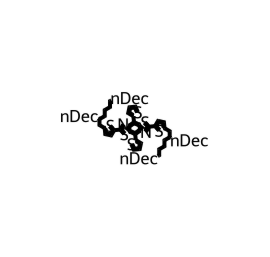 CCCCCCCCCCCCCCC(CCCCCCCCCC)Cc1ccc(-c2nc3c(-c4cccs4)c4sc(-c5ccc(CC(CCCCCCCCCC)CCCCCCCCCCCCCC)s5)nc4c(-c4cccs4)c3s2)s1